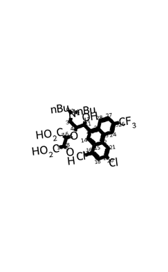 CCCCN(CCCC)CC(OC(C(=O)O)C(O)C(=O)O)C(O)c1cc2c(Cl)cc(Cl)cc2c2cc(C(F)(F)F)ccc12